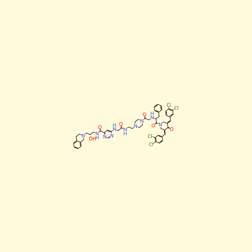 O=C(CNc1cc(C(=O)NC[C@H](O)CN2CCc3ccccc3C2)ncn1)NCCN1CCN(C(=O)CNC(Cc2ccccc2)C(=O)N2C/C(=C\c3ccc(Cl)c(Cl)c3)C(=O)/C(=C/c3ccc(Cl)c(Cl)c3)C2)CC1